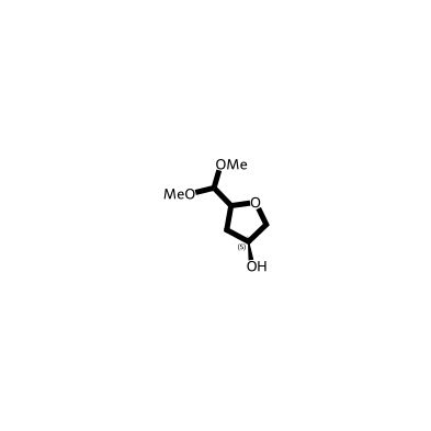 COC(OC)C1C[C@H](O)CO1